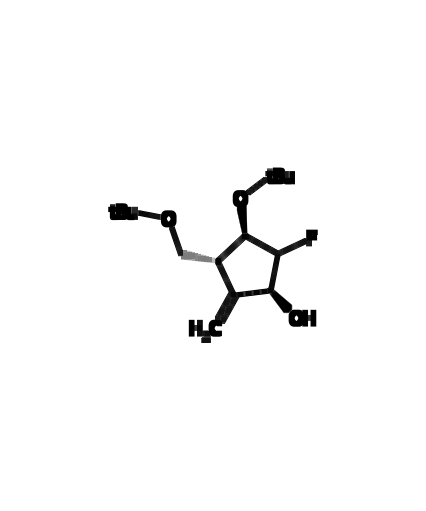 C=C1[C@H](O)C(F)[C@H](OC(C)(C)C)[C@H]1COC(C)(C)C